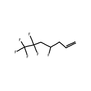 C=CCC(F)CC(F)(F)C(F)(F)F